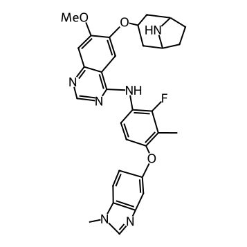 COc1cc2ncnc(Nc3ccc(Oc4ccc5c(c4)ncn5C)c(C)c3F)c2cc1OC1CC2CCC(C1)N2